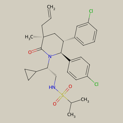 C=CC[C@@]1(C)C[C@H](c2cccc(Cl)c2)[C@@H](c2ccc(Cl)cc2)N([C@H](CNS(=O)(=O)C(C)C)C2CC2)C1=O